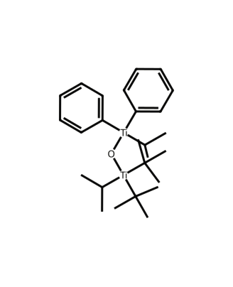 C[CH](C)[Ti]([O][Ti]([CH](C)C)([C](C)(C)C)[C](C)(C)C)([c]1ccccc1)[c]1ccccc1